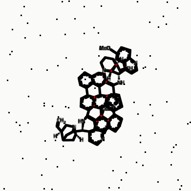 C=C[C@H]1CN2CCC1C[C@@H]2[C@@H](NC(=O)c1ccc(-c2cccc3cccc(-c4ccc(-c5cccc6cccc(-c7ccc(C(=O)N[C@@H](c8ccnc9ccc(OC)cc89)[C@H]8CC9CCN8C[C@@H]9C=C)cc7)c56)c5nsnc45)c23)cc1)c1ccnc2ccc(OC)cc12